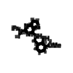 COc1cccc(CNc2nc(N(I)C(C)C)nc3ccsc23)c1P